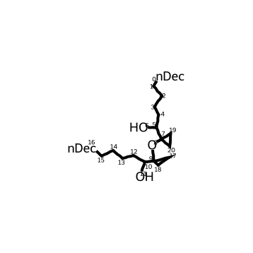 CCCCCCCCCCCCCCC(O)C1(OC2(C(O)CCCCCCCCCCCCCC)CC2)CC1